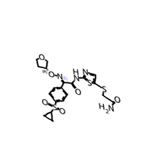 NC(=O)CSc1cnc(NC(=O)/C(=N/O[C@@H]2CCOC2)c2ccc(S(=O)(=O)C3CC3)cc2)s1